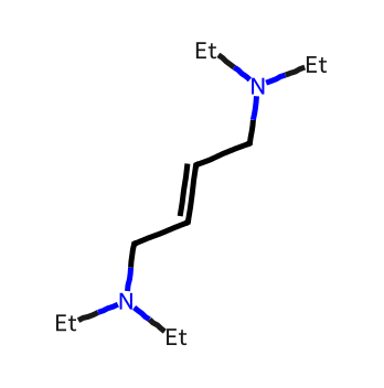 CCN(CC)CC=CCN(CC)CC